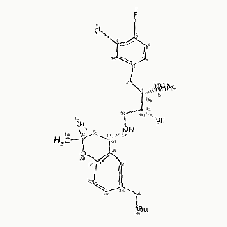 CC(=O)N[C@@H](Cc1ccc(F)c(Cl)c1)[C@H](O)CN[C@H]1CC(C)(C)Oc2ccc(CC(C)(C)C)cc21